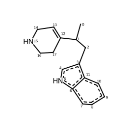 CC(Cc1c[nH]c2ccccc12)C1=CCNCC1